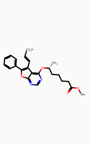 C[C@H](CCCCC(=O)OC(C)(C)C)Oc1ncnc2oc(-c3ccccc3)c(C=CC(=O)O)c12